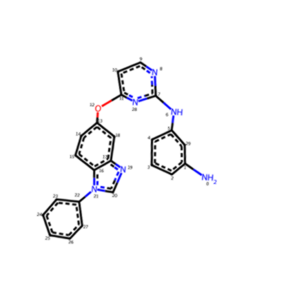 Nc1cccc(Nc2nccc(Oc3ccc4c(c3)ncn4-c3ccccc3)n2)c1